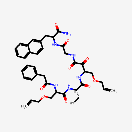 C=CCOCC(NC(=O)Cc1ccccc1)C(=O)N[C@@H](CC(C)C)C(=O)NC(COCC=C)C(=O)C(=O)NCC(=O)NC(Cc1ccc2ccccc2c1)C(N)=O